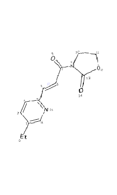 CCc1ccc(/C=C/C(=O)N2CCOC2=O)nc1